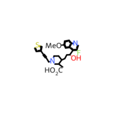 COc1ccc2ncc(F)c([C@H](O)CCC3CCN(CC#Cc4ccsc4)CC3CC(=O)O)c2c1